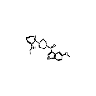 CCNc1cccnc1N1CCN(C(=O)c2c[nH]c3ccc(OC)cc23)CC1